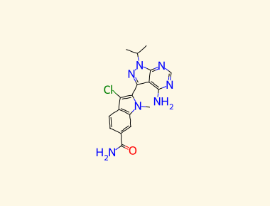 CC(C)n1nc(-c2c(Cl)c3ccc(C(N)=O)cc3n2C)c2c(N)ncnc21